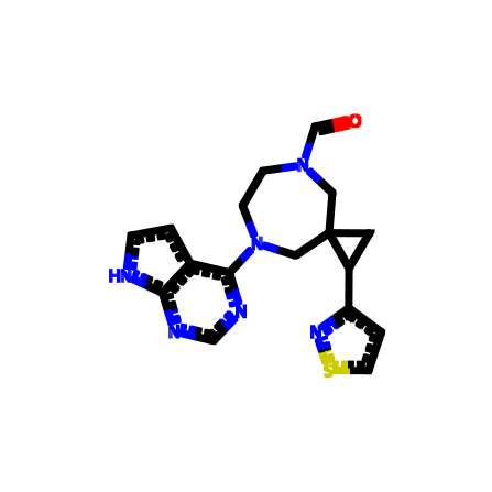 O=CN1CCN(c2ncnc3[nH]ccc23)CC2(CC2c2ccsn2)C1